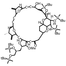 C=C1C[C@@H]2CCC(O)/C=C/[C@H](O[Si](C)(C)C(C)(C)C)[C@@H]3O[C@H]4CCC(CC(=O)C[C@@H]5[C@@H](OC)[C@@H](C[C@@H](CO[Si](C)(C)C(C)(C)C)O[Si](C)(C)C(C)(C)C)O[C@H]5CC5O[C@@H](CCC1O2)C[C@@H](C)C5=C)O[C@@H]4[C@H](O[Si](C)(C)C(C)(C)C)[C@@H]3O[Si](C)(C)C(C)(C)C